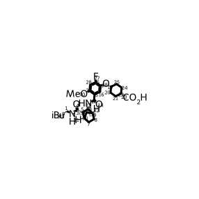 CC[C@@H](C)CNC(=O)[C@H]1[C@@H]2CC[C@@H](C2)[C@H]1NC(=O)c1cc(O[C@H]2CC[C@@H](C(=O)O)CC2)c(F)cc1OC